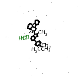 CC1=Cc2c(-c3ccc(C(C)(C)C)cc3)cccc2C1CCC1c2ccccc2-c2ccc[c]([Zr])c21.Cl.Cl